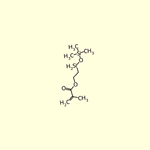 C=C(C)C(=O)OCC[SiH2]O[Si](C)(C)C